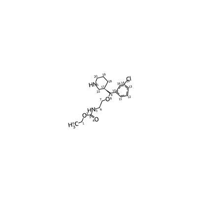 CCOC(=O)NCCOC(c1cccc(Cl)c1)[C@@H]1CCCNC1